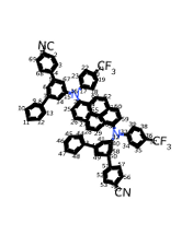 [C-]#[N+]c1ccc(-c2cc(-c3ccccc3)cc(N(c3ccc(C(F)(F)F)cc3)c3ccc4ccc5c(N(c6ccc(C(F)(F)F)cc6)c6cc(-c7ccccc7)cc(-c7ccc(C#N)cc7)c6)ccc6ccc3c4c65)c2)cc1